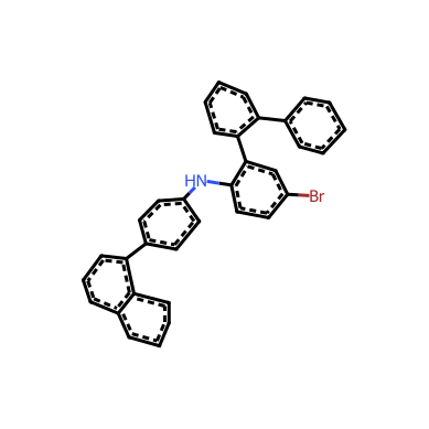 Brc1ccc(Nc2ccc(-c3cccc4ccccc34)cc2)c(-c2ccccc2-c2ccccc2)c1